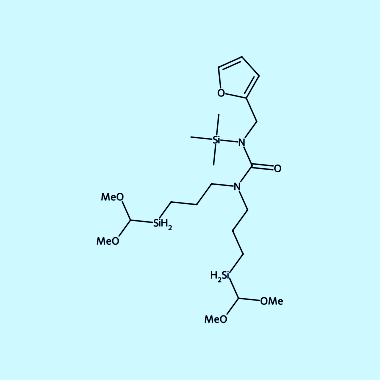 COC(OC)[SiH2]CCCN(CCC[SiH2]C(OC)OC)C(=O)N(Cc1ccco1)[Si](C)(C)C